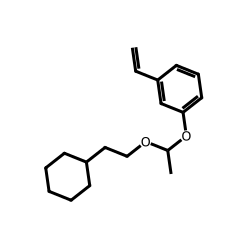 C=Cc1cccc(OC(C)OCCC2CCCCC2)c1